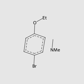 CCOc1ccc(Br)cc1.CNC